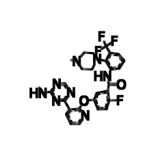 CNc1ncnc(-c2cccnc2Oc2ccc(F)c(C(=O)Nc3cccc(C(F)(F)F)c3N3CCN(C)CC3)c2)n1